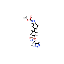 CC(C)(C)OC(=O)NCc1cccc(-c2ccc(S(=O)(=O)NC(C)(C)c3cnn[nH]3)cc2)c1